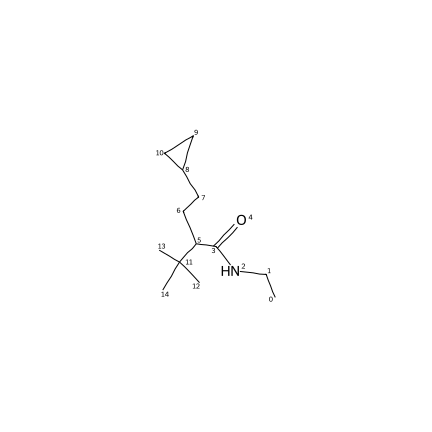 CCNC(=O)C(CCC1CC1)C(C)(C)C